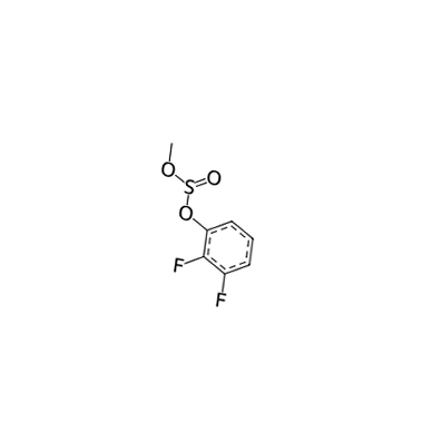 COS(=O)Oc1cccc(F)c1F